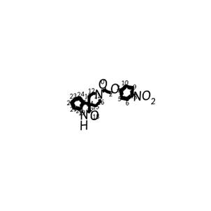 O=C(COc1ccc([N+](=O)[O-])cc1)N1CCC2(CC1)C(=O)Nc1ccccc12